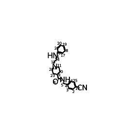 N#Cc1ccc(CNC(=O)C2CCN(CCNc3ccccc3)CC2)cc1